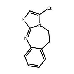 CCC1=CSC2=Nc3ccccc3CCN12